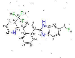 FCc1ccc2nc(-c3ccc(-c4ncccc4C(F)(F)F)c4ccccc34)[nH]c2c1